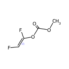 COC(=O)O/C(F)=C/F